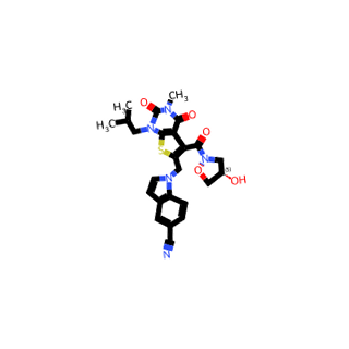 CC(C)Cn1c(=O)n(C)c(=O)c2c(C(=O)N3C[C@H](O)CO3)c(Cn3ccc4cc(C#N)ccc43)sc21